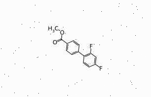 COC(=O)c1ccc(-c2ccc(F)cc2F)cc1